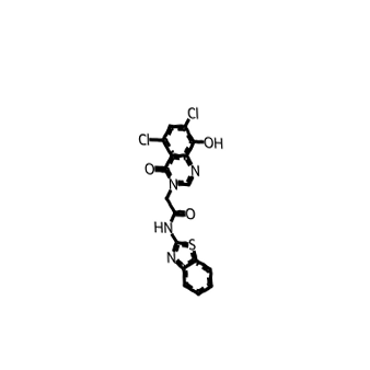 O=C(Cn1cnc2c(O)c(Cl)cc(Cl)c2c1=O)Nc1nc2ccccc2s1